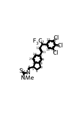 CNC(=S)/N=C/C1CCc2cc(/C=C/C(c3cc(Cl)c(Cl)c(Cl)c3)C(F)(F)F)ccc21